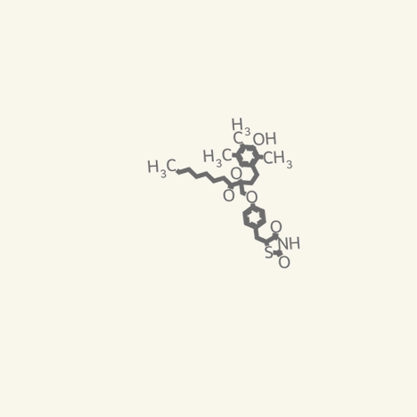 CCCCCCCC(=O)C1(COc2ccc(CC3SC(=O)NC3=O)cc2)CCc2c(C)c(O)c(C)c(C)c2O1